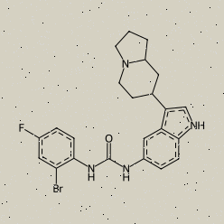 O=C(Nc1ccc2[nH]cc(C3CCN4CCCC4C3)c2c1)Nc1ccc(F)cc1Br